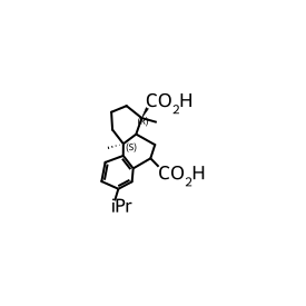 CC(C)c1ccc2c(c1)C(C(=O)O)CC1[C@](C)(C(=O)O)CCC[C@]21C